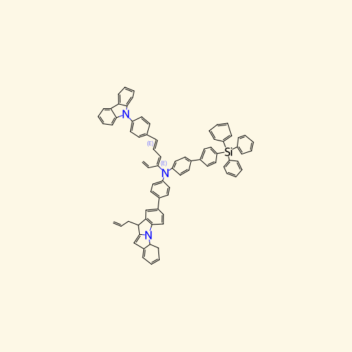 C=CCC1C2=CC3=CC=CCC3N2c2ccc(-c3ccc(N(/C(C=C)=C/C=C/c4ccc(-n5c6ccccc6c6ccccc65)cc4)c4ccc(-c5ccc([Si](c6ccccc6)(c6ccccc6)c6ccccc6)cc5)cc4)cc3)cc21